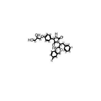 O=C(Nc1ccc(I)cc1F)C(Cc1ccccc1)N1C(=O)NC(c2ccc(OCC(O)CO)cc2)C1=O